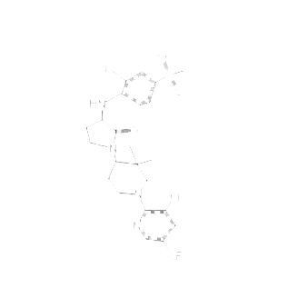 CC1(C)CN(c2ncc(C(F)(F)F)cc2Cl)CCC1N1CCC(Nc2ccc(S(C)(=O)=O)cc2F)C1=O